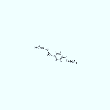 C#CCOc1ccc(CON)cc1